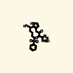 CCCC(CCCCS(=O)(=O)c1ccccc1)c1[nH]ccc1CC(=O)C(=O)c1nn[nH]n1